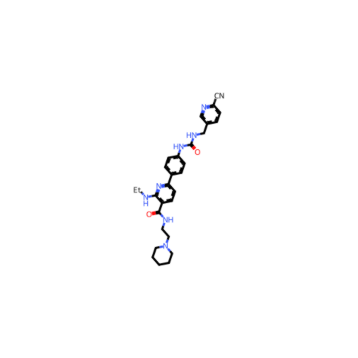 CCNc1nc(-c2ccc(NC(=O)NCc3ccc(C#N)nc3)cc2)ccc1C(=O)NCCN1CCCCC1